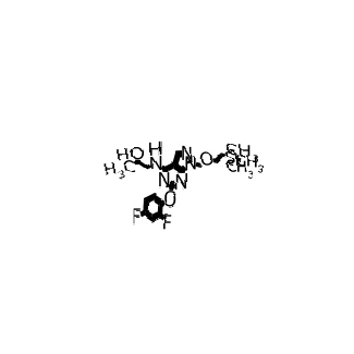 CC(O)CNc1nc(Oc2ccc(F)cc2F)nc2c1cnn2COCC[Si](C)(C)C